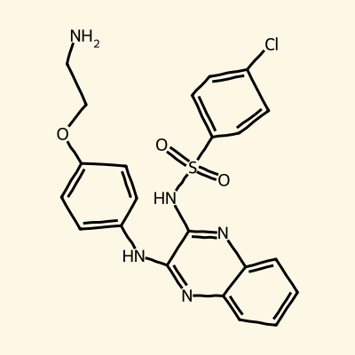 NCCOc1ccc(Nc2nc3ccccc3nc2NS(=O)(=O)c2ccc(Cl)cc2)cc1